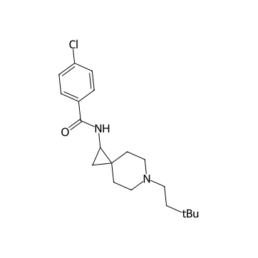 CC(C)(C)CCN1CCC2(CC1)CC2NC(=O)c1ccc(Cl)cc1